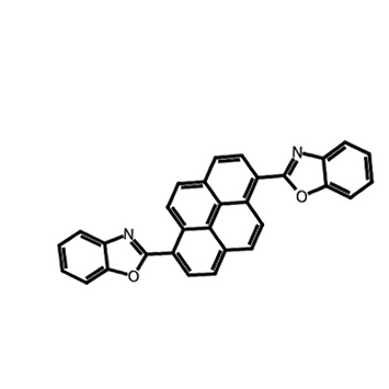 c1ccc2oc(-c3ccc4ccc5c(-c6nc7ccccc7o6)ccc6ccc3c4c65)nc2c1